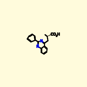 C[C@@H](Cc1nc(-c2ccccc2)nc2ccccc12)C(=O)O